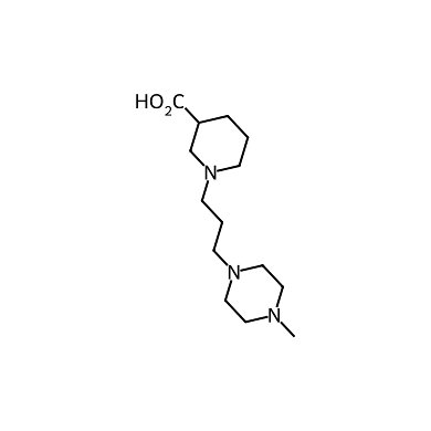 CN1CCN(CCCN2CCCC(C(=O)O)C2)CC1